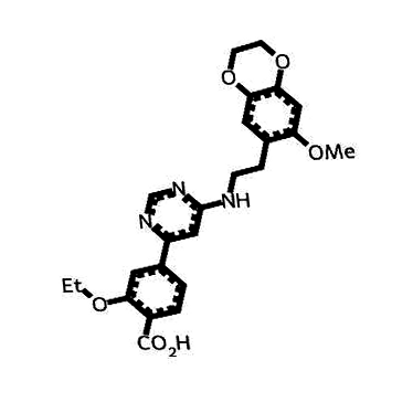 CCOc1cc(-c2cc(NCCc3cc4c(cc3OC)OCCO4)ncn2)ccc1C(=O)O